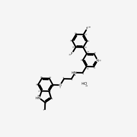 Cc1cc2c(OCCNCc3cncc(-c4cc(F)ccc4F)c3)cccc2[nH]1.Cl